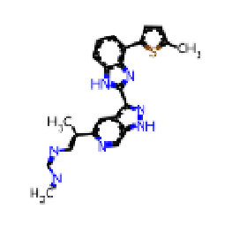 C=N/C=N\C=C(/C)c1cc2c(-c3nc4c(-c5ccc(C)s5)cccc4[nH]3)n[nH]c2cn1